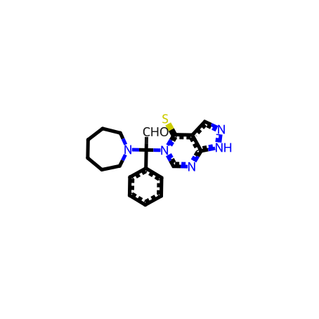 O=CC(c1ccccc1)(N1CCCCCC1)n1cnc2[nH]ncc2c1=S